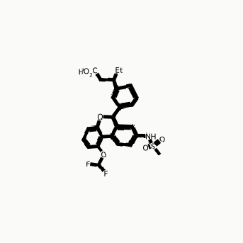 CCC(CC(=O)O)c1cccc(C2Oc3cccc(OC(F)F)c3-c3ccc(NS(C)(=O)=O)cc32)c1